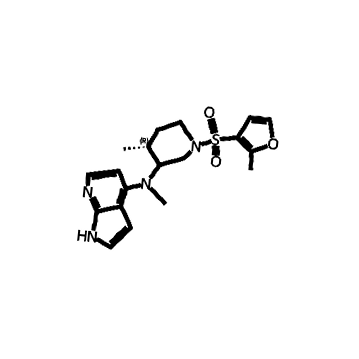 Cc1occc1S(=O)(=O)N1CC[C@@H](C)C(N(C)c2ccnc3[nH]ccc23)C1